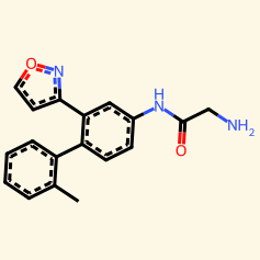 Cc1ccccc1-c1ccc(NC(=O)CN)cc1-c1ccon1